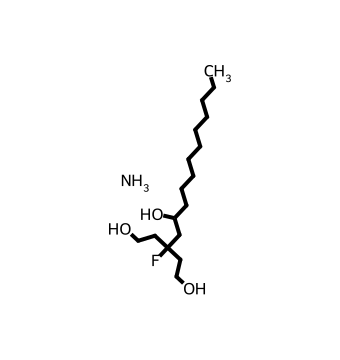 CCCCCCCCCCC(O)CC(F)(CCO)CCO.N